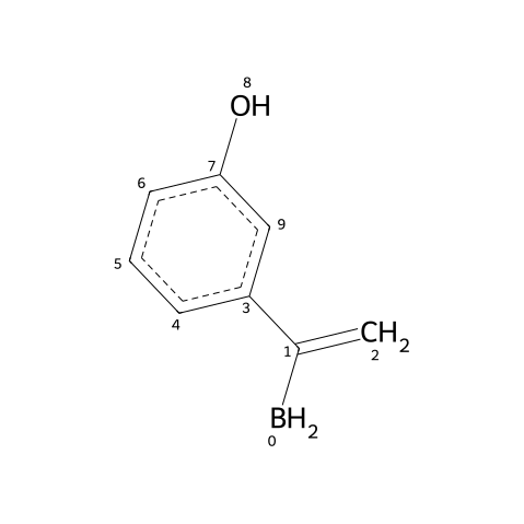 BC(=C)c1cccc(O)c1